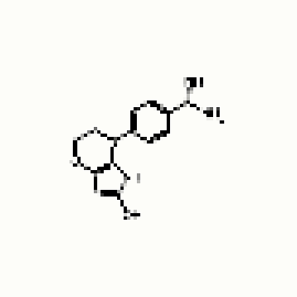 N=C(N)c1ccc(N2CCOc3cc(O)[nH]c32)cc1